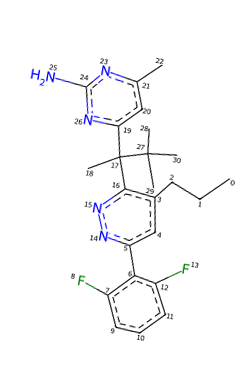 CCCc1cc(-c2c(F)cccc2F)nnc1C(C)(c1cc(C)nc(N)n1)C(C)(C)C